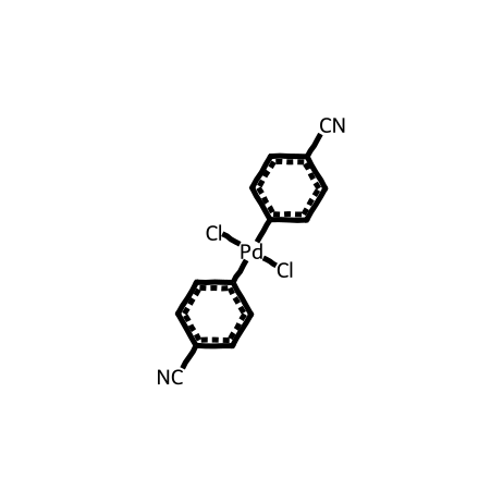 N#Cc1cc[c]([Pd]([Cl])([Cl])[c]2ccc(C#N)cc2)cc1